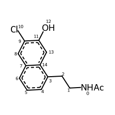 CC(=O)NCCc1cccc2cc(Cl)c(O)cc12